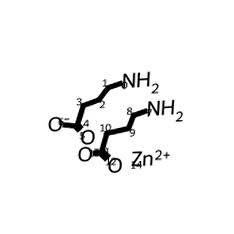 NCCCC(=O)[O-].NCCCC(=O)[O-].[Zn+2]